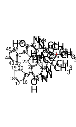 CCC(C)(C)C(C)(C)n1nnc2c(O)c(-c3ccccc3)c(Cc3cc4c(nnn4C(C)(C)C(C)(C)CC)c(O)c3-c3ccccc3)cc21